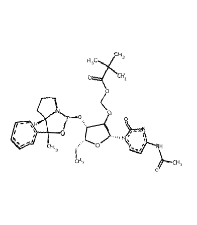 CC[C@H]1O[C@@H](n2ccc(NC(C)=O)nc2=O)C(OCOC(=O)C(C)(C)C)[C@H]1O[P@@]1O[C@](C)(c2ccccc2)[C@@H]2CCCN21